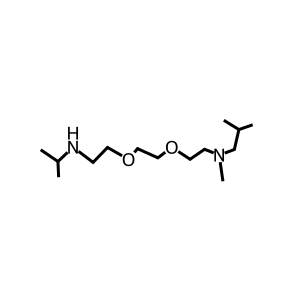 CC(C)CN(C)CCOCCOCCNC(C)C